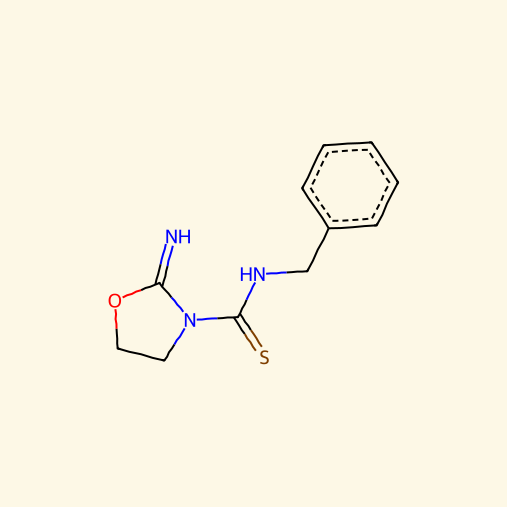 N=C1OCCN1C(=S)NCc1ccccc1